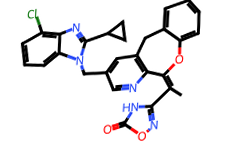 CC(=C1Oc2ccccc2Cc2cc(Cn3c(C4CC4)nc4c(Cl)cccc43)cnc21)c1noc(=O)[nH]1